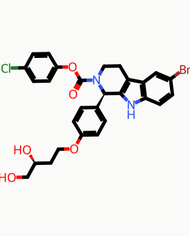 O=C(Oc1ccc(Cl)cc1)N1CCc2c([nH]c3ccc(Br)cc23)[C@H]1c1ccc(OCC[C@H](O)CO)cc1